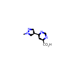 Cn1cc(-c2cc(C(=O)O)ncn2)cn1